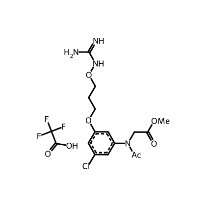 COC(=O)CN(C(C)=O)c1cc(Cl)cc(OCCCONC(=N)N)c1.O=C(O)C(F)(F)F